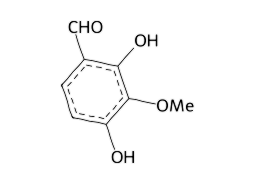 COc1c(O)ccc(C=O)c1O